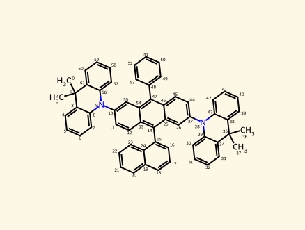 CC1(C)c2ccccc2N(c2ccc3c(-c4cccc5ccccc45)c4cc(N5c6ccccc6C(C)(C)c6ccccc65)ccc4c(-c4ccccc4)c3c2)c2ccccc21